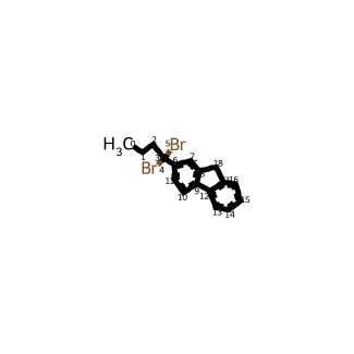 CCCC(Br)(Br)c1[c]c2c(cc1)-c1ccccc1C2